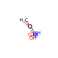 CCOc1ccc(COc2[nH]nnc2C(=O)O)cc1